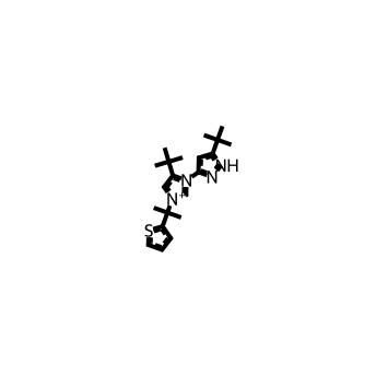 CC(C)(C)c1cc(-n2c[n+](C(C)(C)c3cccs3)cc2C(C)(C)C)n[nH]1